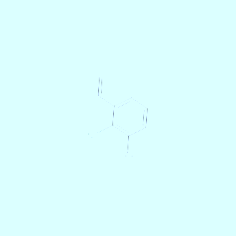 C=Cc1cccc(C(C)=O)c1Cl